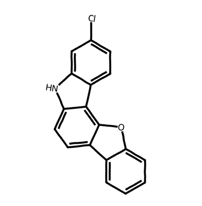 Clc1ccc2c(c1)[nH]c1ccc3c4ccccc4oc3c12